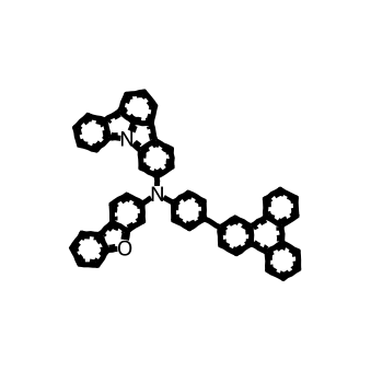 c1ccc2c(c1)oc1cc(N(c3ccc(-c4ccc5c6ccccc6c6ccccc6c5c4)cc3)c3ccc4c5cccc6c7ccccc7n(c4c3)c65)ccc12